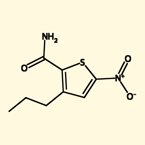 CCCc1cc([N+](=O)[O-])sc1C(N)=O